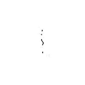 CCO[SiH2]CC[SiH2]OCC